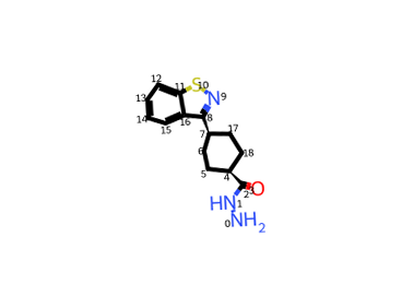 NNC(=O)[C@H]1CC[C@@H](c2nsc3ccccc32)CC1